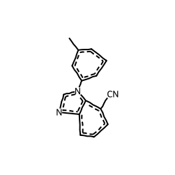 Cc1cccc(-n2cnc3cccc(C#N)c32)c1